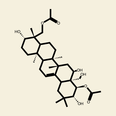 CC(=O)OC[C@]1(C)C2CC[C@]3(C)C(CC=C4C5CC(C)(C)[C@@H](O)[C@H](OC(C)=O)[C@]5(CO)[C@H](O)C[C@]43C)[C@@]2(C)CC[C@@H]1O